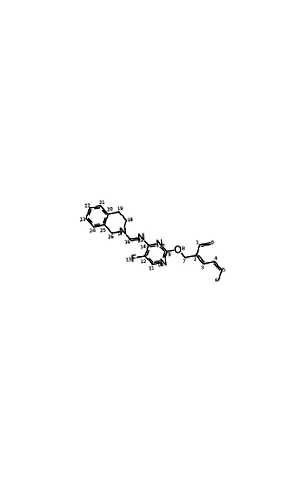 C=C/C(=C\C=C/C)COc1ncc(F)c(/N=C/N2CCc3ccccc3C2)n1